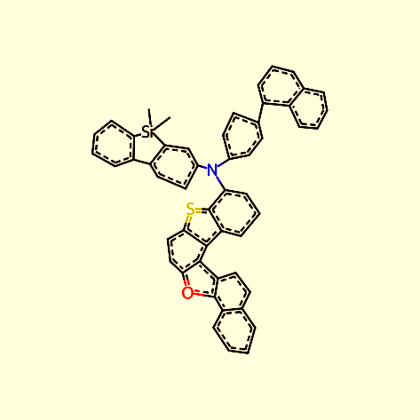 C[Si]1(C)c2ccccc2-c2ccc(N(c3ccc(-c4cccc5ccccc45)cc3)c3cccc4c3sc3ccc5oc6c7ccccc7ccc6c5c34)cc21